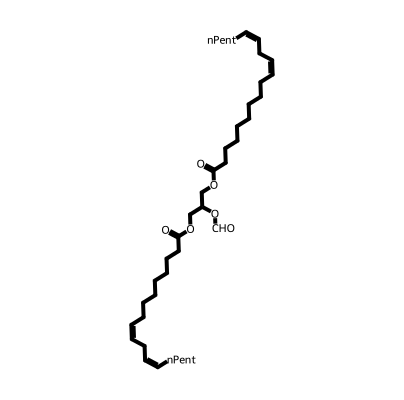 CCCCC/C=C\C/C=C\CCCCCCCCC(=O)OCC(COC(=O)CCCCCCC/C=C\C/C=C\CCCCC)OC=O